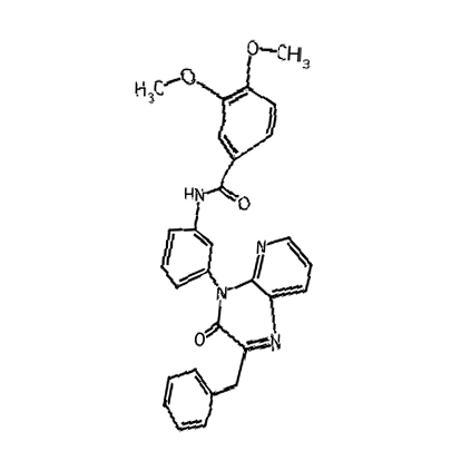 COc1ccc(C(=O)Nc2cccc(-n3c(=O)c(Cc4ccccc4)nc4cccnc43)c2)cc1OC